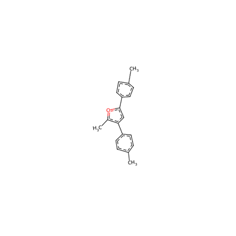 Cc1ccc(-c2cc(-c3ccc(C)cc3)c(C)o2)cc1